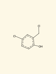 Oc1ccc(Cl)cc1CCl